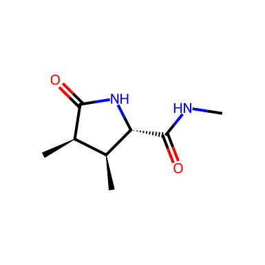 CNC(=O)[C@H]1NC(=O)[C@H](C)[C@@H]1C